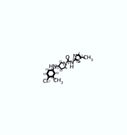 Cc1cnc(NC(=O)N2CCC(Nc3ccc(Cl)c(C)c3)C2)s1